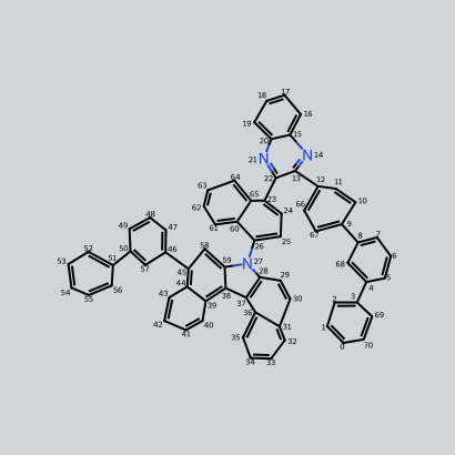 c1ccc(-c2cccc(-c3ccc(-c4nc5ccccc5nc4-c4ccc(-n5c6ccc7ccccc7c6c6c7ccccc7c(-c7cccc(-c8ccccc8)c7)cc65)c5ccccc45)cc3)c2)cc1